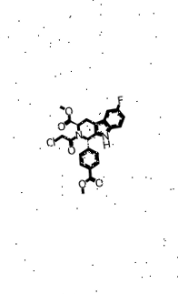 COC(=O)c1ccc([C@H]2c3[nH]c4ccc(F)cc4c3C[C@H](C(=O)OC)N2C(=O)CCl)cc1